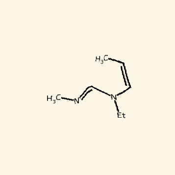 C/C=C\N(/C=N/C)CC